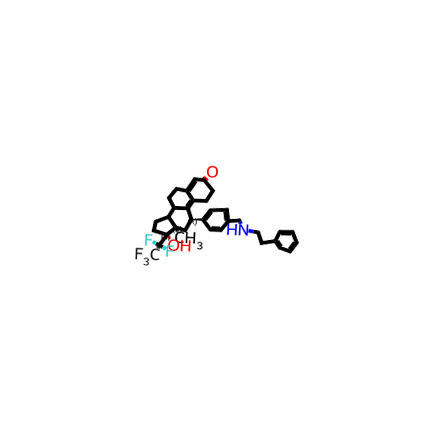 C[C@]12C[C@H](c3ccc(CNCCc4ccccc4)cc3)C3=C4CCC(=O)C=C4CCC3C1CC[C@@]2(O)C(F)(F)C(F)(F)F